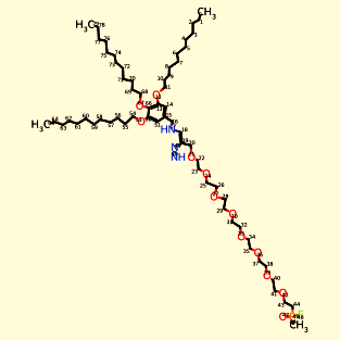 CCCCCCCCCCCCOc1cc(CN/C=C(/COCCOCCOCCOCCOCCOCCOCCOCCP(C)(=O)F)N=N)cc(OCCCCCCCCCCCC)c1OCCCCCCCCCCCC